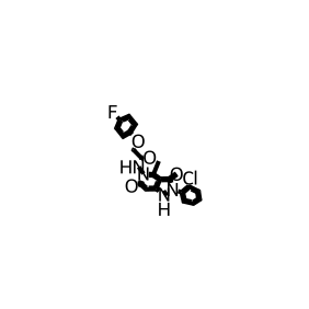 Cc1c2c(=O)n(-c3ccccc3Cl)[nH]c2cc(=O)n1NC(=O)COc1ccc(F)cc1